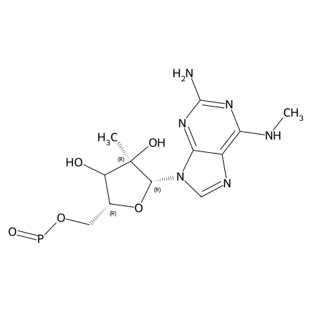 CNc1nc(N)nc2c1ncn2[C@@H]1O[C@H](COP=O)C(O)[C@@]1(C)O